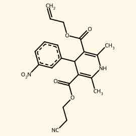 C=CCOC(=O)C1=C(C)NC(C)=C(C(=O)OCCC#N)C1c1cccc([N+](=O)[O-])c1